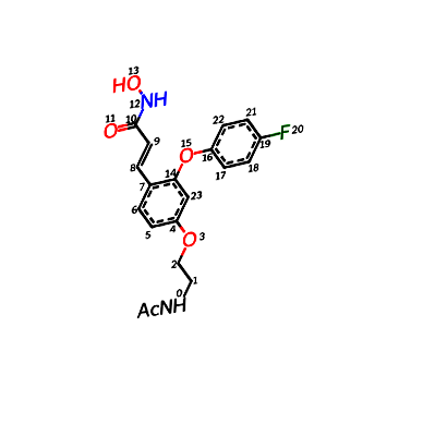 CC(=O)NCCOc1ccc(C=CC(=O)NO)c(Oc2ccc(F)cc2)c1